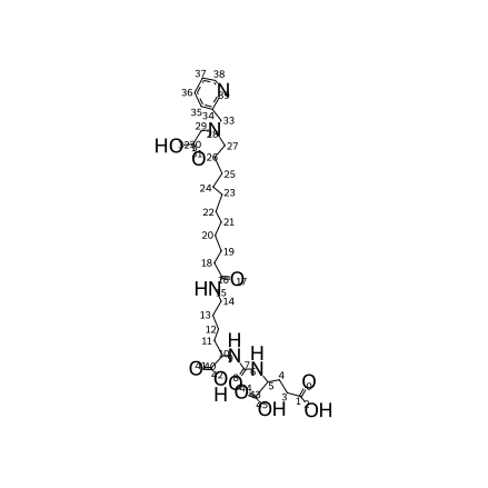 O=C(O)CCC(NC(=O)NC(CCCCNC(=O)CCCCCCCCCCN(CC(=O)O)Cc1ccccn1)C(=O)O)C(=O)O